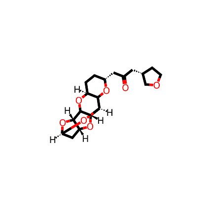 O=C(C[C@@H]1CCOC1)C[C@H]1CC[C@@H]2OC3[C@H]4O[C@@H]5C[C@H]4O[C@H]3[C@@H](O5)C2O1